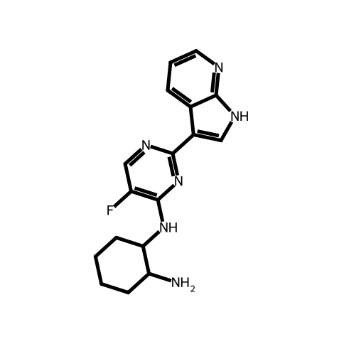 NC1CCCCC1Nc1nc(-c2c[nH]c3ncccc23)ncc1F